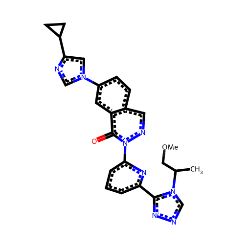 COCC(C)n1cnnc1-c1cccc(-n2ncc3ccc(-n4cnc(C5CC5)c4)cc3c2=O)n1